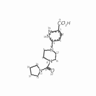 O=C(O)c1ccc(N2CCN(C(=O)N3CCCC3)CC2)nn1